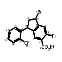 CCOC(=O)c1cc2c(cc1F)C(Br)CC2c1ccccc1C(F)(F)F